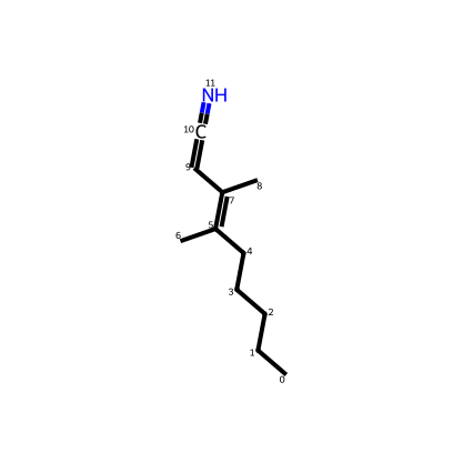 CCCCC/C(C)=C(\C)C=C=N